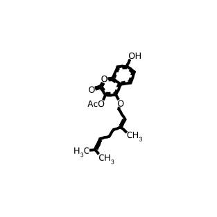 CC(=O)Oc1c(OCC=C(C)CCC=C(C)C)c2ccc(O)cc2oc1=O